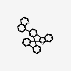 c1ccc2c(c1)-c1ccccc1C21c2cc(-c3cccc4cccnc34)ccc2-c2c1oc1ccccc21